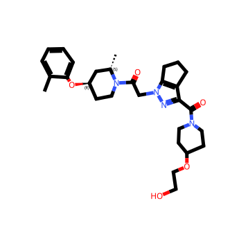 Cc1ccccc1O[C@@H]1CCN(C(=O)Cn2nc(C(=O)N3CCC(OCCO)CC3)c3c2CCC3)[C@@H](C)C1